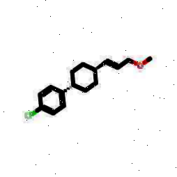 COCC=C[C@H]1CC[C@H](c2ccc(Cl)cc2)CC1